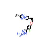 CCc1cnc(N2CCC([C@H]3C[C@H]3COCc3ccc(-c4cnc(N)nc4)c(F)c3)CC2)nc1